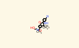 CN(CCO)C(=O)c1ccc2c(c1)C(C)(C)c1[nH]c3cc(C#N)ccc3c1C2=O